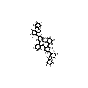 c1ccc2c(c1)oc1c(-c3ccc4c(c3)c3ccccc3c3c5ccc(-c6cccc7c6oc6ccccc67)cc5c5ccccc5c43)cccc12